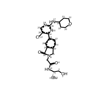 CC(C)(C)[C@@H](CO)NC(=O)CN1Cc2ccc(-c3nc(NC4CCOCC4)ncc3Cl)cc2C1=O